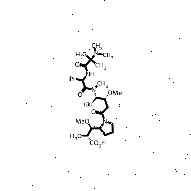 CC[C@H](C)[C@@H]([C@@H](CC(=O)N1CCCC1[C@H](OC)[C@@H](C)C(=O)O)OC)N(C)C(=O)C(NC(=O)C(C)(C)N(C)C)C(C)C